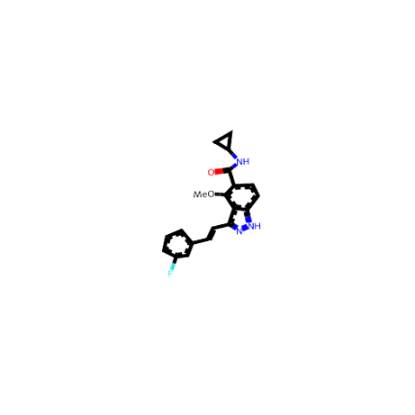 COc1c(C(=O)NC2CC2)ccc2[nH]nc(C=Cc3cccc(F)c3)c12